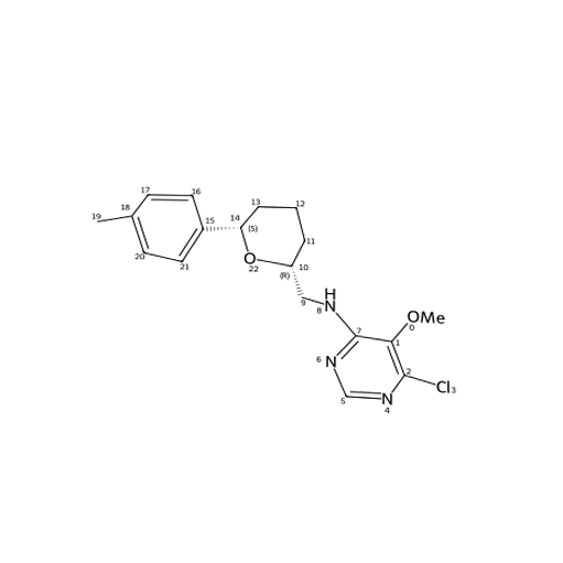 COc1c(Cl)ncnc1NC[C@H]1CCC[C@@H](c2ccc(C)cc2)O1